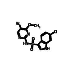 COc1nc(NS(=O)(=O)c2c[nH]c3cc(Cl)ccc23)ncc1Br